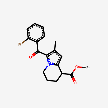 Cc1cc2n(c1C(=O)c1ccccc1Br)CCCC2C(=O)OC(C)C